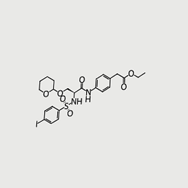 CCOC(=O)Cc1ccc(NC(=O)[C@H](COC2CCCCO2)NS(=O)(=O)c2ccc(I)cc2)cc1